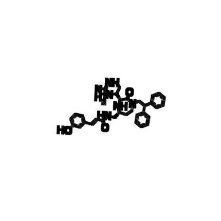 CCC(NC(=N)N)[C@@H]1N[C@H](CNC(=O)/C=C/c2cccc(O)c2)CCN(CC(c2ccccc2)c2ccccc2)C1=O